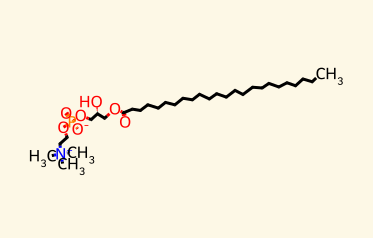 CCCCCCCCCCCCCCCCCCCCCCCC(=O)OC[C@@H](O)COP(=O)([O-])OCC[N+](C)(C)C